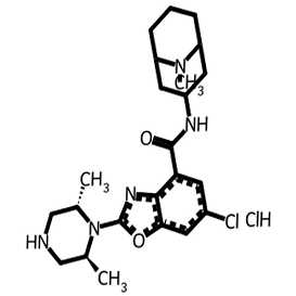 C[C@H]1CNC[C@H](C)N1c1nc2c(C(=O)NC3CC4CCCC(C3)N4C)cc(Cl)cc2o1.Cl